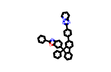 c1ccc(-c2nc3ccc(C4(c5ccccc5)c5ccccc5-c5ccc(-c6ccc(-c7nc8ccccn8n7)cc6)cc54)cc3o2)cc1